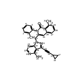 Cc1ccccc1-n1c(Cn2nc(C#CC3CC3)c3c(N)ncnc32)cc2cccc(C)c2c1=O